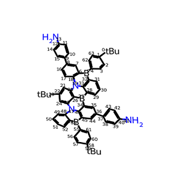 CC(C)(C)c1ccc(B2c3cc(-c4ccc(N)cc4)ccc3N3c4cc(C(C)(C)C)cc5c4B(c4cccc2c43)c2cc(-c3ccc(N)cc3)cc3c2N5c2ccccc2B3c2ccc(C(C)(C)C)cc2)cc1